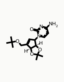 CC(C)(C)OCC1=CC(n2ccc(N)nc2=O)[C@H]2OC(C)(C)O[C@@H]12